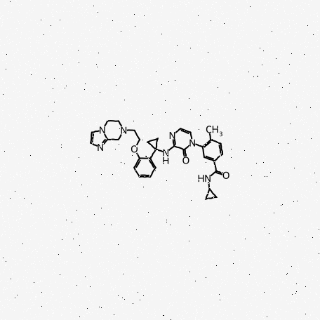 Cc1ccc(C(=O)NC2CC2)cc1-n1ccnc(NC2(c3ccccc3OCCN3CCn4ccnc4C3)CC2)c1=O